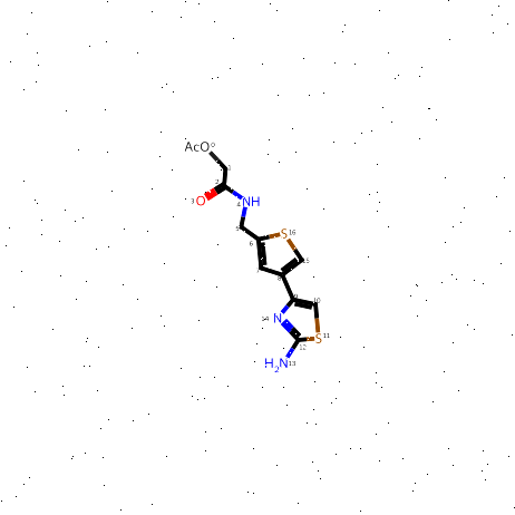 CC(=O)OCC(=O)NCc1cc(-c2csc(N)n2)cs1